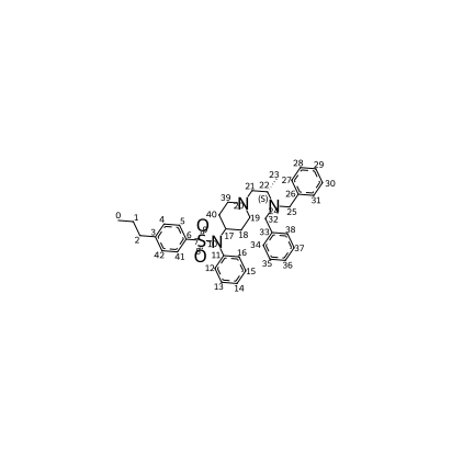 CCCc1ccc(S(=O)(=O)N(c2ccccc2)C2CCN(C[C@H](C)N(Cc3ccccc3)Cc3ccccc3)CC2)cc1